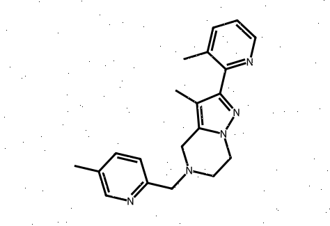 Cc1ccc(CN2CCn3nc(-c4ncccc4C)c(C)c3C2)nc1